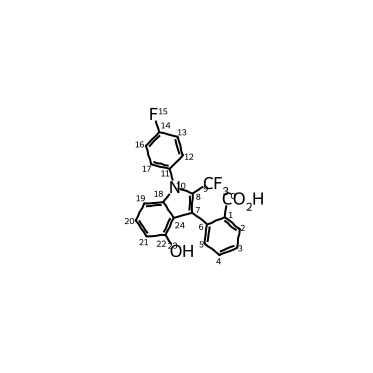 O=C(O)c1ccccc1-c1c(C(F)(F)F)n(-c2ccc(F)cc2)c2cccc(O)c12